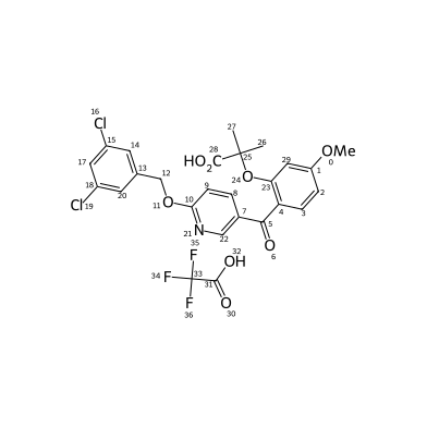 COc1ccc(C(=O)c2ccc(OCc3cc(Cl)cc(Cl)c3)nc2)c(OC(C)(C)C(=O)O)c1.O=C(O)C(F)(F)F